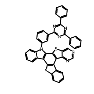 c1ccc(-c2nc(-c3ccccc3)nc(-c3cccc(-n4c5ccccc5c5c6sc7ccccc7c6c6c7ncncc7sc6c54)c3)n2)cc1